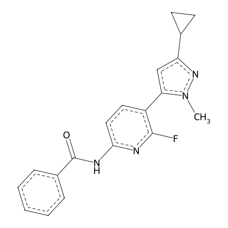 Cn1nc(C2CC2)cc1-c1ccc(NC(=O)c2ccccc2)nc1F